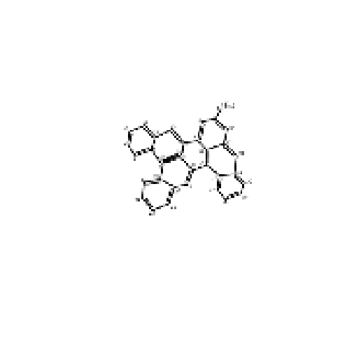 CC(C)(C)c1cc(-c2ccc3ccccc3c2)c2c(-c3ccc4ccccc4c3)c3ccccc3cc2c1